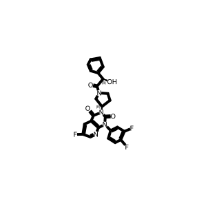 O=C([C@H](O)c1ccccc1)N1CC[C@@H](n2c(=O)c3cc(F)cnc3n(-c3ccc(F)c(F)c3)c2=O)C1